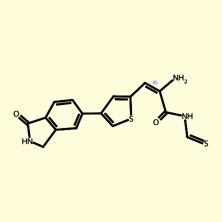 N/C(=C/c1cc(-c2ccc3c(c2)CNC3=O)cs1)C(=O)NC=S